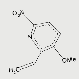 C=Cc1nc([N+](=O)[O-])ccc1OC